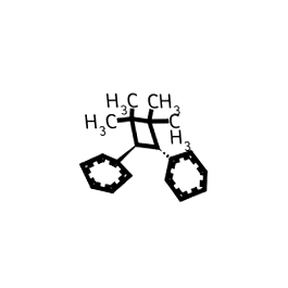 CC1(C)[C@H](c2ccccc2)[C@@H](c2ccccc2)C1(C)C